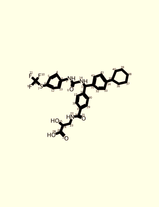 O=C(Nc1ccc(SC(F)(F)F)cc1)NC(c1ccc(C(=O)NCC(O)C(=O)O)cc1)c1ccc(C2CCCCC2)cc1